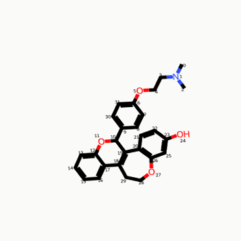 CN(C)CCOc1ccc(C2Oc3ccccc3C3=C2c2ccc(O)cc2OCC3)cc1